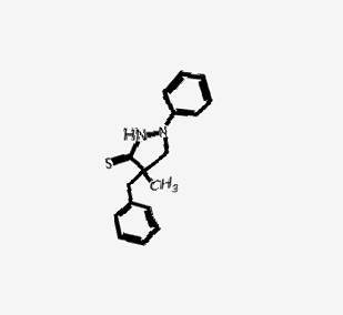 CC1(Cc2ccccc2)CN(c2ccccc2)NC1=S